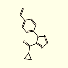 C=Cc1ccc(-n2ncnc2C(=O)C2CC2)cc1